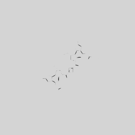 CC(=O)Oc1cc2c(c3sc(C)cc13)[C@H](CCl)CN2C(=O)C12CC(C(=O)N3C[C@@H](CCl)c4c3cc(OC(C)=O)c3cc(C)sc43)(C1)C2